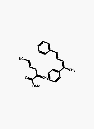 C=C(CC=CC#N)C(=O)OC.CC(=CC=Cc1ccccc1)c1ccccc1